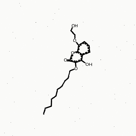 CCCCCCCCCCOc1c(O)c2cccc(OCCO)c2oc1=O